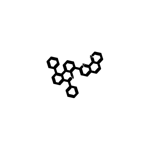 c1ccc(-c2nc3c(-c4ccc5ccc6cccnc6c5n4)cccc3c3c(-c4ccccc4)cccc23)cc1